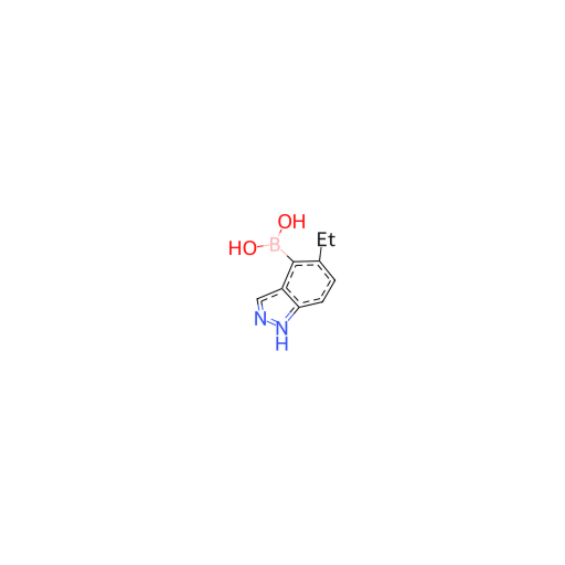 CCc1ccc2[nH]ncc2c1B(O)O